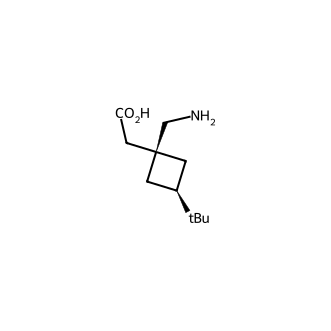 CC(C)(C)[C@H]1C[C@](CN)(CC(=O)O)C1